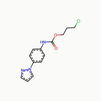 O=C(Nc1ccc(-n2cccn2)cc1)OCCCCl